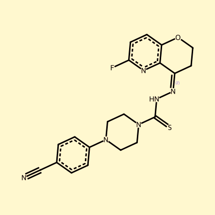 N#Cc1ccc(N2CCN(C(=S)N/N=C3/CCOc4ccc(F)nc43)CC2)cc1